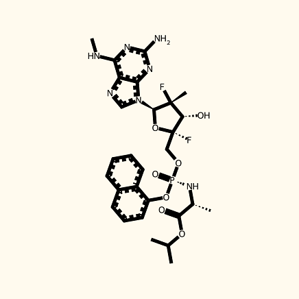 CNc1nc(N)nc2c1ncn2[C@@H]1O[C@](F)(CO[P@@](=O)(N[C@H](C)C(=O)OC(C)C)Oc2cccc3ccccc23)[C@@H](O)[C@@]1(C)F